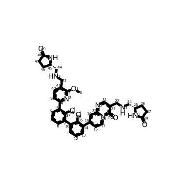 COc1nc(-c2cccc(-c3cccc(-c4ccn5c(=O)c(CNC[C@@H]6CCC(=O)N6)cnc5c4)c3Cl)c2Cl)ccc1CNC[C@@H]1CCC(=O)N1